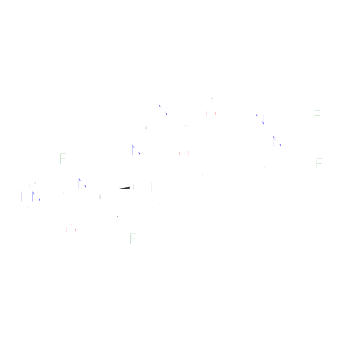 C[C@]1(c2nc(NC(=O)Oc3nn(C(F)F)cc3Cl)ccc2F)N=C(N)OCC1(F)F